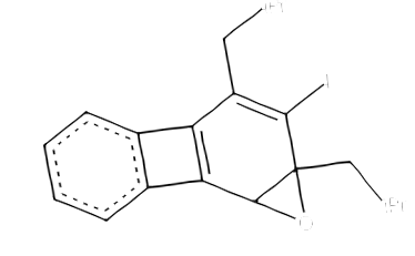 CC(C)CC1=C(I)C2(CC(C)C)OC2C2=C1c1ccccc12